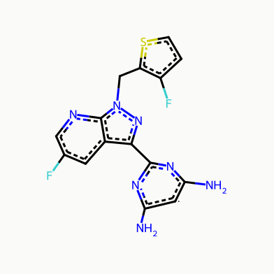 Nc1[c]c(N)nc(-c2nn(Cc3sccc3F)c3ncc(F)cc23)n1